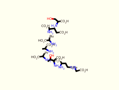 CC(C)C(N)C(=O)O.CC(N)C(=O)O.CC(O)C(N)C(=O)O.CCC(C)C(N)C(=O)O.CSCCC(N)C(=O)O.NC(CCC(=O)O)C(=O)O.NC(CO)C(=O)O.NCC(=O)O